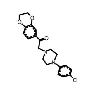 O=C(CN1CCN(c2ccc(Cl)cc2)CC1)c1ccc2c(c1)OCCO2